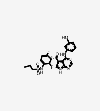 CCCS(=O)(=O)NC1=CC=C(F)[C@H](C(=O)c2c[nH]c3ncnc(Nc4cccc(O)c4)c23)C1F